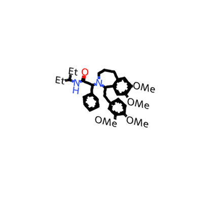 CCC(CC)NC(=O)C(c1ccccc1)N1CCCc2cc(OC)c(OC)cc2C1Cc1ccc(OC)c(OC)c1